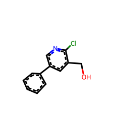 OCc1cc(-c2ccccc2)cnc1Cl